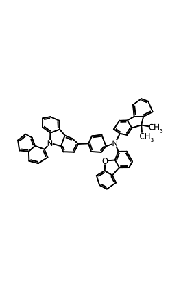 CC1(C)c2ccccc2-c2ccc(N(c3ccc(-c4ccc5c(c4)c4ccccc4n5-c4cccc5ccccc45)cc3)c3cccc4c3oc3ccccc34)cc21